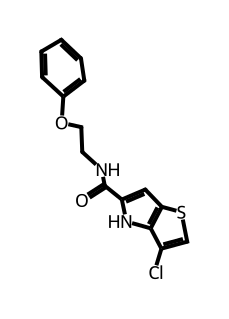 O=C(NCCOc1ccccc1)c1cc2scc(Cl)c2[nH]1